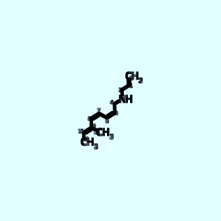 C=CCNC\C=C/C=C\C(C)=C\C